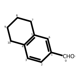 O=[C]c1ccc2c(c1)CCCC2